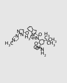 COc1c(NC(=O)c2cc3cccc(Oc4ccnc(N5CCN(C)CC5)n4)c3n2C)cc(C(C)(C)C)cc1C(N)=O